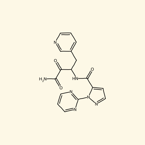 NC(=O)C(=O)C(Cc1cccnc1)NC(=O)c1ccnn1-c1ncccn1